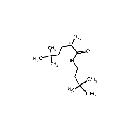 C[C@H](CCC(C)(C)C)C(=O)NCCC(C)(C)C